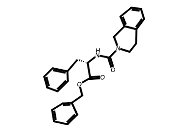 O=C(OCc1ccccc1)[C@H](Cc1ccccc1)NC(=O)N1CCc2ccccc2C1